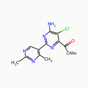 COC(=O)c1nc(-c2cnc(C)nc2C)nc(N)c1Cl